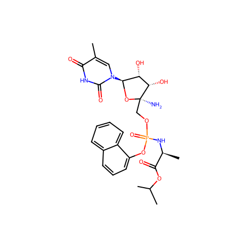 Cc1cn([C@@H]2O[C@](N)(COP(=O)(N[C@@H](C)C(=O)OC(C)C)Oc3cccc4ccccc34)[C@@H](O)[C@H]2O)c(=O)[nH]c1=O